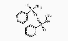 CCCCNS(=O)(=O)c1ccccc1.NS(=O)(=O)c1ccccc1